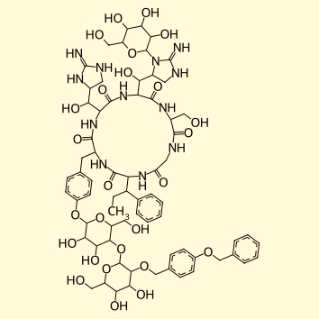 CCC(c1ccccc1)C1NC(=O)CNC(=O)C(CO)NC(=O)C(C(O)C2CNC(=N)N2C2OC(CO)C(O)C(O)C2O)NC(=O)C(C(O)C2CNC(=N)N2)NC(=O)C(Cc2ccc(OC3OC(CO)C(OC4OC(CO)C(O)C(O)C4OCc4ccc(OCc5ccccc5)cc4)C(O)C3O)cc2)NC1=O